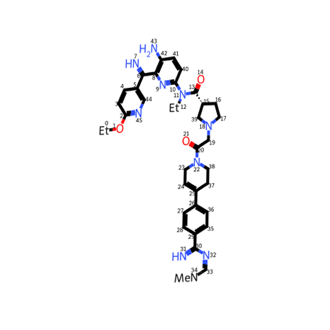 CCOc1ccc(C(=N)c2nc(N(CC)C(=O)[C@@H]3CCN(CC(=O)N4CC=C(c5ccc(C(=N)/N=C\NC)cc5)CC4)C3)ccc2N)cn1